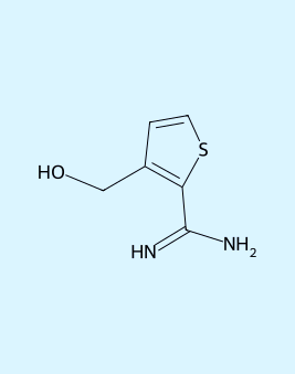 N=C(N)c1sccc1CO